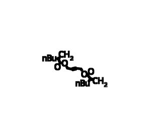 C=C(CCCC)C(=O)OCC#CCOC(=O)C(=C)CCCC